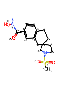 CS(=O)(=O)N1CCC2(CCc3ccc(C(=O)NO)cc3C2)C1